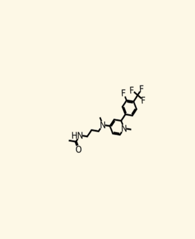 CC(=O)NCCCN(C)C1=CC(c2ccc(C(F)(F)F)c(F)c2)N(C)C=C1